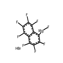 Br.[F][Mg][c]1c(F)c(F)c(F)c2c(F)c(F)c(F)c(F)c12